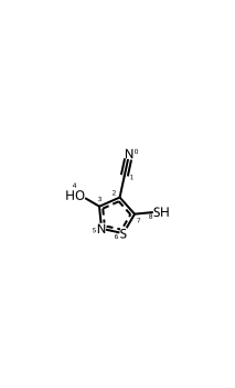 N#Cc1c(O)nsc1S